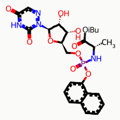 CC(C)COC(=O)[C@H](C)NP(=O)(OC[C@H]1O[C@@H](n2ncc(=O)[nH]c2=O)[C@H](O)[C@@H]1O)Oc1cccc2ccccc12